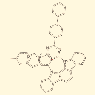 Cc1ccc(-c2cccc(-n3c4ccccc4c4ccc5c6ccccc6n(-c6nc(-c7ccccc7)nc(-c7ccc(-c8ccccc8)cc7)n6)c5c43)c2)cc1